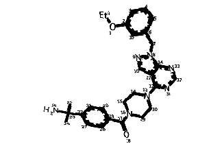 CCOc1cccc(Cn2ncc3c(N4CCN(C(=O)c5ccc(C(C)(C)N)cc5)CC4)ncnc32)c1